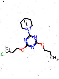 CCCOc1nc(OCCC)nc([N+]23CCC(CC2)CC3)n1.[Cl-]